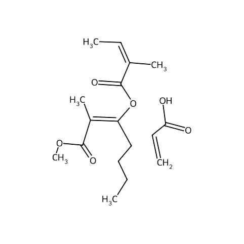 C=CC(=O)O.CC=C(C)C(=O)OC(CCCC)=C(C)C(=O)OC